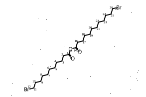 O=C(CCCCCCCCCCBr)OC(=O)CCCCCCCCCCCBr